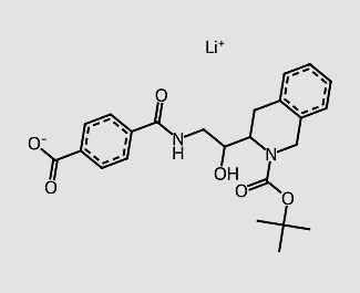 CC(C)(C)OC(=O)N1Cc2ccccc2CC1C(O)CNC(=O)c1ccc(C(=O)[O-])cc1.[Li+]